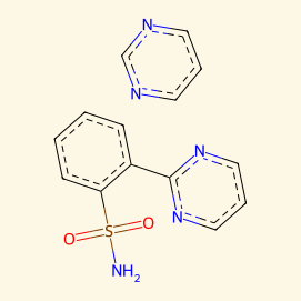 NS(=O)(=O)c1ccccc1-c1ncccn1.c1cncnc1